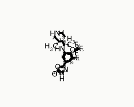 C[C@@H]1CNCC[C@@H]1[C@H](C)Nc1cc(-c2n[nH]c(=O)o2)cc(F)c1OC(F)(F)F